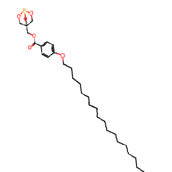 CCCCCCCCCCCCCCCCCCOc1ccc(C(=O)OCC23COP(OC2)OC3)cc1